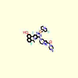 CCc1c(F)ccc2cc(O)cc(-c3ncc4c(N5CCCn6nc(C(=O)N7CCN(C)CC7)cc6C5)nc(OC[C@@]56CCCN5C[C@H](F)C6)nc4c3F)c12